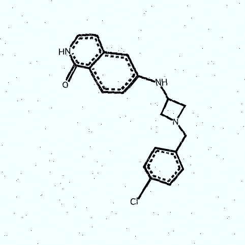 O=c1[nH]ccc2cc(NC3CN(Cc4ccc(Cl)cc4)C3)ccc12